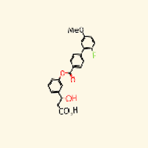 COc1ccc(F)c(-c2ccc(C(=O)Oc3cccc([C@H](O)CC(=O)O)c3)cc2)c1